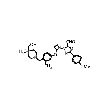 COc1ccc(C2=NN(N3CCC3Oc3ccc(CN4CCC(C)(CO)CC4)c(C)c3)C(C=O)O2)cc1